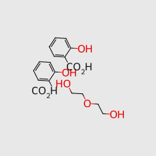 O=C(O)c1ccccc1O.O=C(O)c1ccccc1O.OCCOCCO